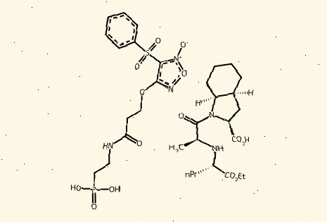 CCC[C@H](N[C@@H](C)C(=O)N1[C@H](C(=O)O)C[C@@H]2CCCC[C@@H]21)C(=O)OCC.O=C(CCOc1no[n+]([O-])c1S(=O)(=O)c1ccccc1)NCCP(=O)(O)O